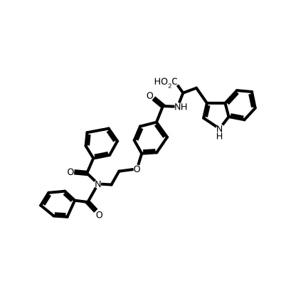 O=C(NC(Cc1c[nH]c2ccccc12)C(=O)O)c1ccc(OCCN(C(=O)c2ccccc2)C(=O)c2ccccc2)cc1